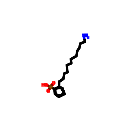 NCCCCCCCCCCCCc1ccccc1S(=O)(=O)O